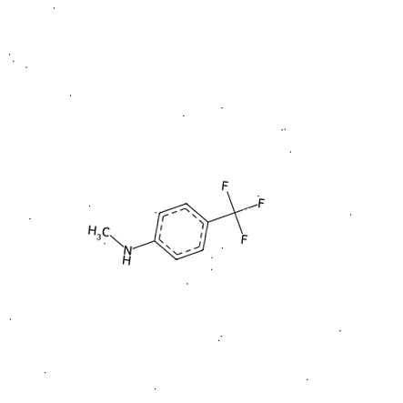 CNc1[c]cc(C(F)(F)F)cc1